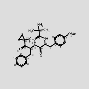 COc1ccc(CC(NC(=O)C(C)(C)N)C(=O)NC(Cc2ccccc2)C(=O)C2(C)CC2)cc1